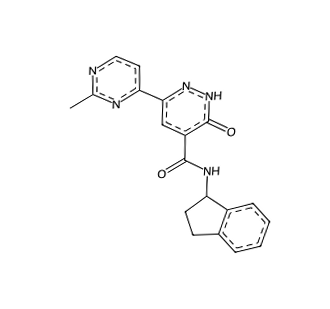 Cc1nccc(-c2cc(C(=O)NC3CCc4ccccc43)c(=O)[nH]n2)n1